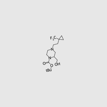 CC(C)(C)OC(=O)N1CCN(CCC2(C(F)(F)F)CC2)CC1CO